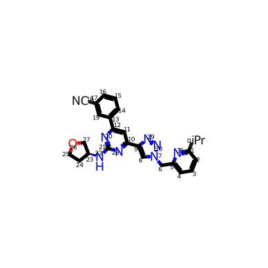 CC(C)c1cccc(Cn2cc(-c3cc(-c4cccc(C#N)c4)nc(N[C@H]4CCOC4)n3)nn2)n1